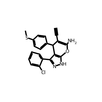 C#CC1=C(N)Oc2[nH]nc(-c3ccccc3Cl)c2C1c1ccc(SC)cc1